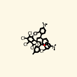 Cc1ccc(/C(=C\C2(/C=C(\c3ccc(C)cc3)c3ccc(N(C)C)cc3Cl)OC(=O)c3c(Cl)c(Cl)c(Cl)c(Cl)c32)c2ccc(N(C)C)cc2Cl)cc1